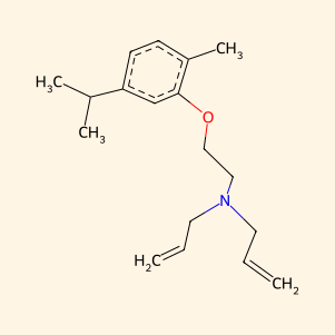 C=CCN(CC=C)CCOc1cc(C(C)C)ccc1C